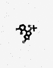 CC(C)(C)[S@@+]([O-])N1Cc2sc(Cl)cc2C1c1cccc(F)c1Br